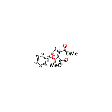 COC(=O)C1=CC2OC1(C(=O)OC)CC2c1ccccc1